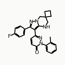 Cc1ccccc1-n1nc(-c2c(-c3ccc(F)cc3)nn3c2NCC2(CCC2)C3)ccc1=O